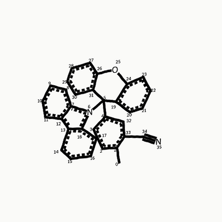 Cc1ccc(C2(n3c4ccccc4c4ccccc43)c3ccccc3Oc3ccccc32)cc1C#N